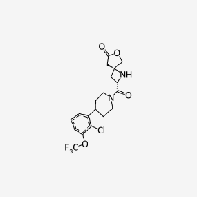 O=C1C[C@]2(CO1)C[C@@H](C(=O)N1CCC(c3cccc(OC(F)(F)F)c3Cl)CC1)N2